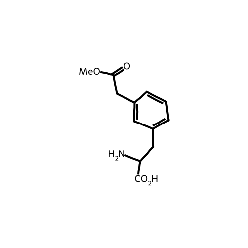 COC(=O)Cc1cccc(CC(N)C(=O)O)c1